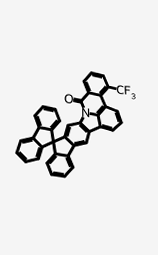 O=c1c2cccc(C(F)(F)F)c2c2cccc3c4cc5c(cc4n1c32)C1(c2ccccc2-c2ccccc21)c1ccccc1-5